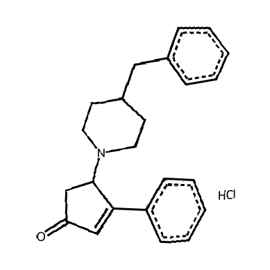 Cl.O=C1C=C(c2ccccc2)C(N2CCC(Cc3ccccc3)CC2)C1